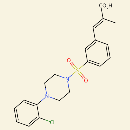 CC(=Cc1cccc(S(=O)(=O)N2CCN(c3ccccc3Cl)CC2)c1)C(=O)O